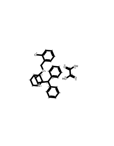 Clc1ccccc1COC1C2CCN(CC2)C1C(c1ccccc1)c1ccccc1.O=C(O)C(=O)O